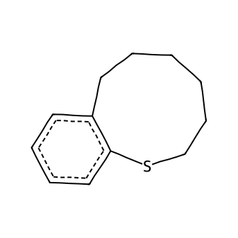 c1ccc2c(c1)CCCCCCS2